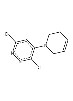 Clc1cc(N2CC=CCC2)c(Cl)nn1